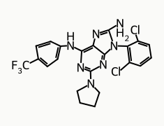 Nc1nc2c(Nc3ccc(C(F)(F)F)cc3)nc(N3CCCC3)nc2n1-c1c(Cl)cccc1Cl